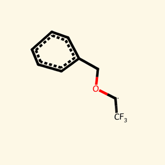 FC(F)(F)[CH]OCc1ccccc1